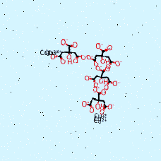 O=C([O-])CC(O)(CC(=O)[O-])C(=O)[O-].O=C([O-])CC(O)(CC(=O)[O-])C(=O)[O-].O=C([O-])CC(O)(CC(=O)[O-])C(=O)[O-].O=C([O-])CC(O)(CC(=O)[O-])C(=O)[O-].[Cu+2].[Cu+2].[Cu+2].[Cu+2].[Cu+2].[Cu+2]